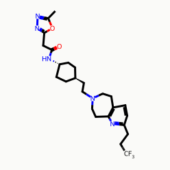 Cc1nnc(CC(=O)N[C@H]2CC[C@H](CCN3CCc4ccc(CCC(F)(F)F)nc4CC3)CC2)o1